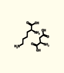 NC(CC(=O)O)C(=O)O.NCCCC[C@H](N)C(=O)O